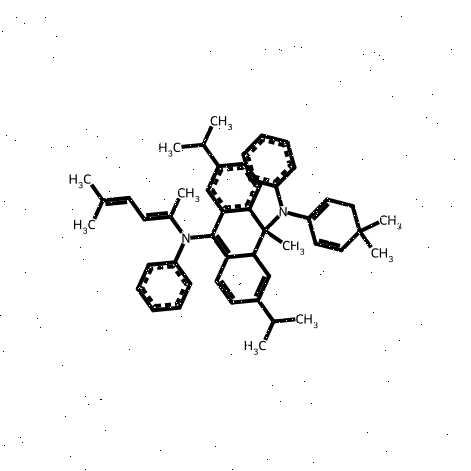 CC(C)=C/C=C(\C)N(C1=C2C=CC(C(C)C)=CC2C(C)(N(C2=CCC(C)(C)C=C2)c2ccccc2)c2ccc(C(C)C)cc21)c1ccccc1